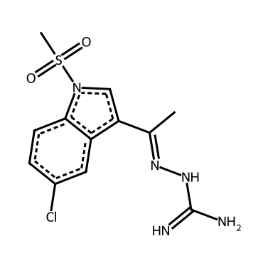 CC(=NNC(=N)N)c1cn(S(C)(=O)=O)c2ccc(Cl)cc12